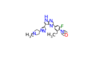 CCc1cc(-c2cnc3[nH]cc(-c4cnn(C5CCN(C)CC5)c4)c3n2)cc(F)c1N1C2COCC1C2